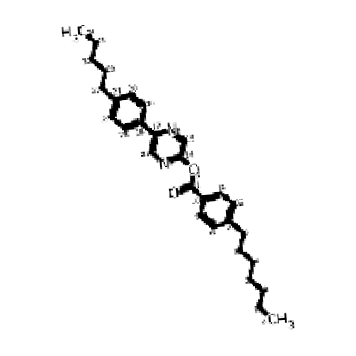 CCCCCCCc1ccc(C(=O)Oc2cnc(-c3ccc(CCCCC)cc3)cn2)cc1